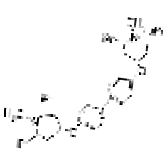 CC(C)C1CC(Oc2ccc(-c3ccc(OC4CC(C(C)C)N(C)C(C(C)C)C4)cc3)cc2)CC(C(C)C)N1C